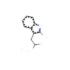 NC(Cc1c(Cl)[nH]c2ccccc12)C(=O)O